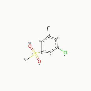 Cc1cc(Cl)cc(S(C)(=O)=O)c1